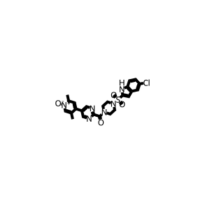 Cc1c[n+]([O-])c(C)cc1-c1cnc(C(=O)N2CCN(S(=O)(=O)c3cc4cc(Cl)ccc4[nH]3)CC2)nc1